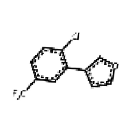 FC(F)(F)c1ccc(Cl)c(-c2[c]occ2)c1